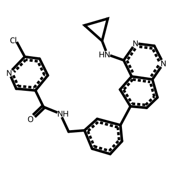 O=C(NCc1cccc(-c2ccc3ncnc(NC4CC4)c3c2)c1)c1ccc(Cl)nc1